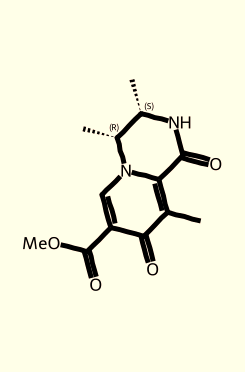 COC(=O)c1cn2c(c(C)c1=O)C(=O)N[C@@H](C)[C@H]2C